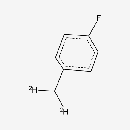 [2H]C([2H])c1ccc(F)cc1